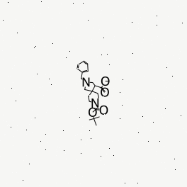 COC(=O)C1CN(Cc2ccccc2)CC12CCN(C(=O)OC(C)(C)C)CC2